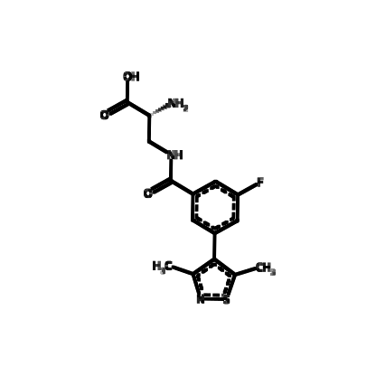 Cc1nsc(C)c1-c1cc(F)cc(C(=O)NC[C@@H](N)C(=O)O)c1